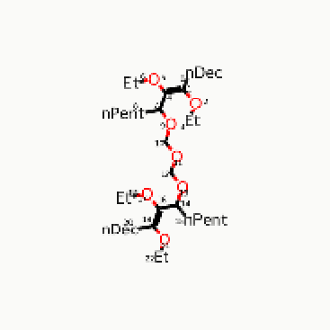 CCCCCCCCCCC(OCC)=C(OCC)C(CCCCC)OCOCOC(CCCCC)C(OCC)=C(CCCCCCCCCC)OCC